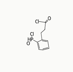 O=C(Cl)CCc1ccccc1[PH](=O)Cl